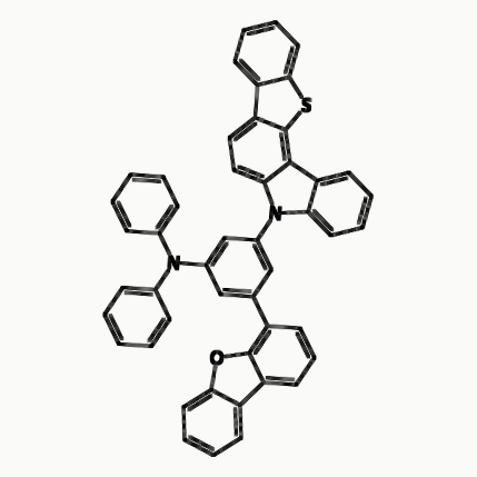 c1ccc(N(c2ccccc2)c2cc(-c3cccc4c3oc3ccccc34)cc(-n3c4ccccc4c4c5sc6ccccc6c5ccc43)c2)cc1